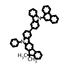 CC1(C)c2ccccc2-c2cc3c4cc(-c5ccc6c(c5)c5ccccc5n6-c5cc6ccccc6c6ccccc56)ccc4n(-c4ccccc4)c3cc21